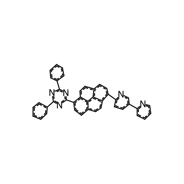 c1ccc(-c2nc(-c3ccccc3)nc(-c3ccc4ccc5c(-c6ccc(-c7ccccn7)cn6)ccc6ccc3c4c65)n2)cc1